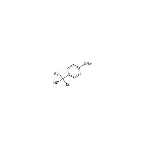 CCC(C)(O)c1ccc(OC)cc1